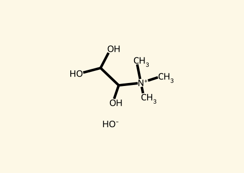 C[N+](C)(C)C(O)C(O)O.[OH-]